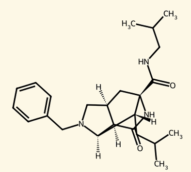 CC(C)CNC(=O)[C@@]12C[C@@H]3CN(Cc4ccccc4)[C@@H]([C@@H]3C(=O)N1)[C@H]2CC(C)C